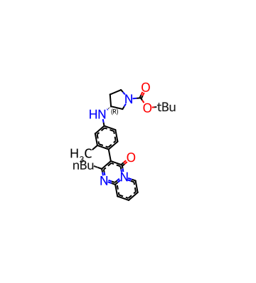 CCCCc1nc2ccccn2c(=O)c1-c1ccc(N[C@@H]2CCN(C(=O)OC(C)(C)C)C2)cc1C